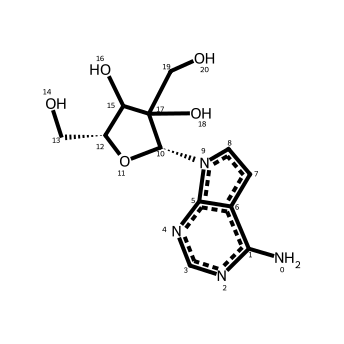 Nc1ncnc2c1ccn2[C@@H]1O[C@H](CO)C(O)C1(O)CO